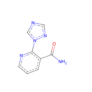 NC(=O)c1cccnc1-n1cncn1